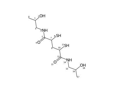 CC(O)CNC(=O)C(S)CC(S)C(=O)NCC(C)O